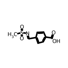 CS(=O)(=O)N=Cc1ccc(C(=O)O)cc1